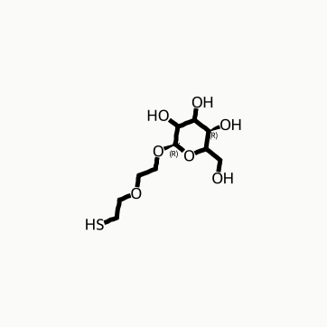 OCC1O[C@@H](OCCOCCS)C(O)C(O)[C@H]1O